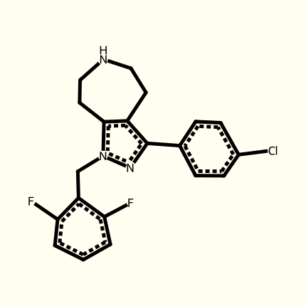 Fc1cccc(F)c1Cn1nc(-c2ccc(Cl)cc2)c2c1CCNCC2